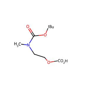 CN(CCOC(=O)O)C(=O)OC(C)(C)C